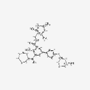 CCN(c1cc(-c2ccc(CN3CCC[C@H](O)C3)cc2)cc(C(=O)NCc2c(C)cc(C)[nH]c2=O)c1C)C1CCCCCC1